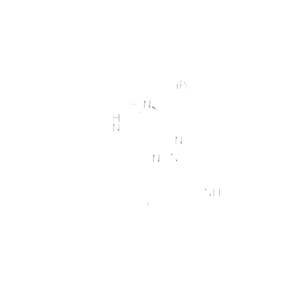 CC(C)C[C@H](N)c1cn([C@@H](Cc2c[nH]c3ccccc23)C(=O)C2CCNCC2)nn1